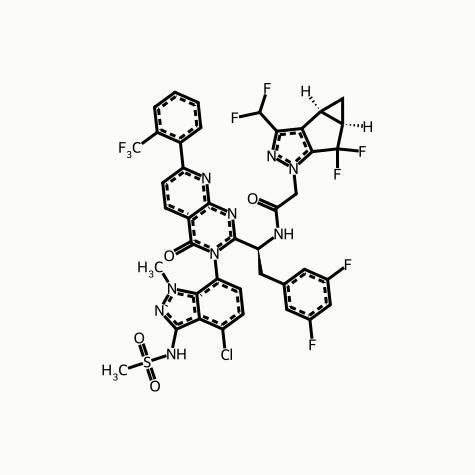 Cn1nc(NS(C)(=O)=O)c2c(Cl)ccc(-n3c([C@H](Cc4cc(F)cc(F)c4)NC(=O)Cn4nc(C(F)F)c5c4C(F)(F)[C@@H]4C[C@H]54)nc4nc(-c5ccccc5C(F)(F)F)ccc4c3=O)c21